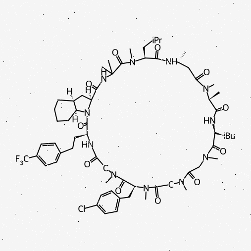 CC[C@H](C)[C@@H]1NC(=O)[C@H](C)N(C)C(=O)C[C@@H](C)NC(=O)[C@H](CC(C)C)N(C)C(=O)C(C)(C)NC(=O)[C@@H]2C[C@@H]3CCCC[C@@H]3N2C(=O)[C@H](CCc2ccc(C(F)(F)F)cc2)NC(=O)CN(C)C(=O)[C@H](Cc2ccc(Cl)cc2)N(C)C(=O)CN(C)C(=O)CN(C)C1=O